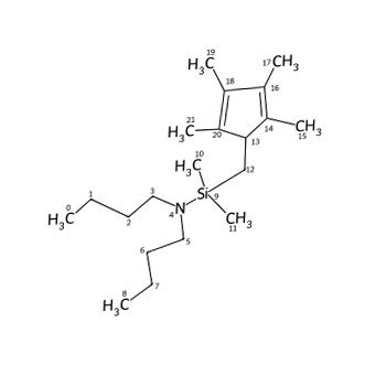 CCCCN(CCCC)[Si](C)(C)CC1C(C)=C(C)C(C)=C1C